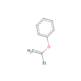 C=C(CC)Oc1ccccc1